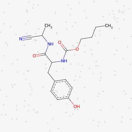 CCCCOC(=O)NC(Cc1ccc(O)cc1)C(=O)NC(C)C#N